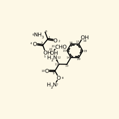 CC(=O)C(=O)O.N.NOC(=O)[C@@H](N)Cc1ccc(O)cc1.O=CO